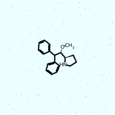 CO[C@@H](C(c1ccccc1)c1ccccc1)[C@H]1CCCN1